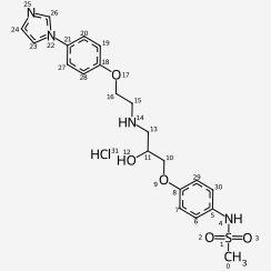 CS(=O)(=O)Nc1ccc(OCC(O)CNCCOc2ccc(-n3ccnc3)cc2)cc1.Cl